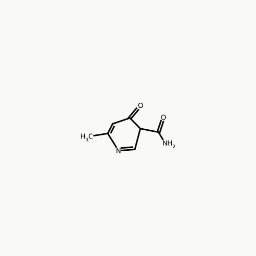 CC1=CC(=O)C(C(N)=O)C=N1